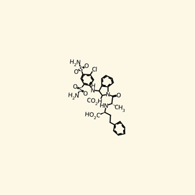 C[C@H](N[C@@H](CCc1ccccc1)C(=O)O)C(=O)N1c2ccccc2C(Nc2cc(Cl)c(S(N)(=O)=O)cc2S(N)(=O)=O)C1C(=O)O